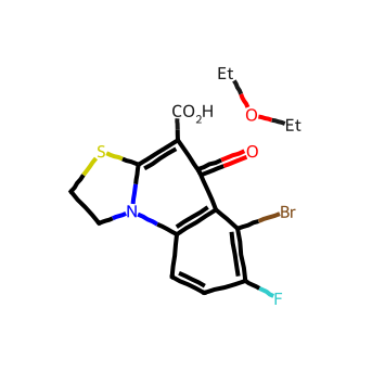 CCOCC.O=C(O)c1c2n(c3ccc(F)c(Br)c3c1=O)CCS2